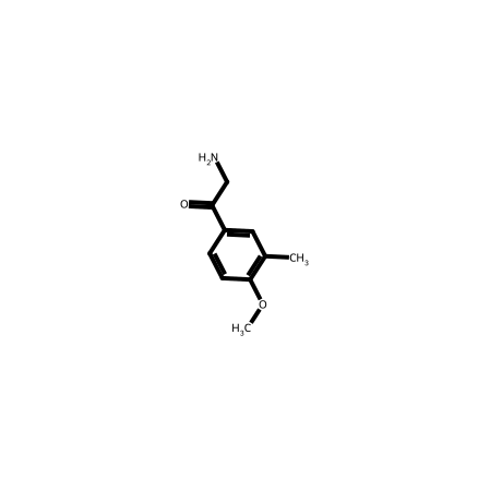 COc1ccc(C(=O)CN)cc1C